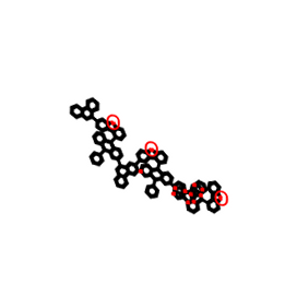 c1ccc(-c2c3ccccc3c(-c3cccc4oc5ccc(-c6ccc7c(c6)c(-c6ccc8c(-c9cccc%10oc%11cc(-c%12cc%13ccccc%13c%13ccccc%12%13)ccc%11c9%10)c9ccccc9c(-c9ccccc9)c8c6)cc6ccccc67)cc5c34)c3ccc(-c4ccc5ccc6cc(-c7cccc8oc9cccc(-c%10c%11ccccc%11c(-c%11ccccc%11)c%11ccccc%10%11)c9c78)ccc6c5c4)cc23)cc1